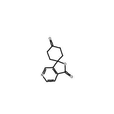 O=C1CCC2(CC1)OC(=O)c1ccncc12